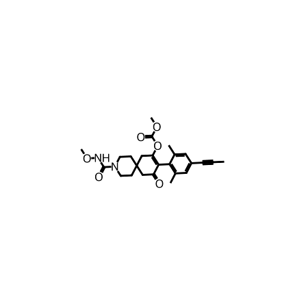 CC#Cc1cc(C)c(C2=C(OC(=O)OC)CC3(CCN(C(=O)NOC)CC3)CC2=O)c(C)c1